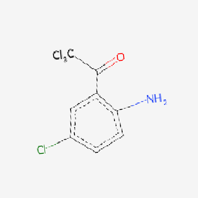 Nc1ccc(Cl)cc1C(=O)C(Cl)(Cl)Cl